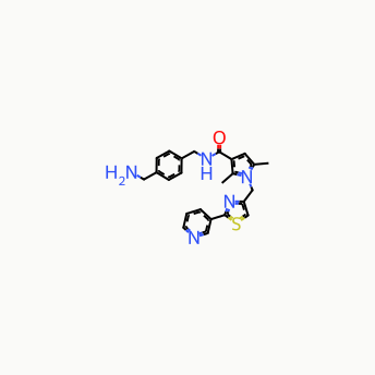 Cc1cc(C(=O)NCc2ccc(CN)cc2)c(C)n1Cc1csc(-c2cccnc2)n1